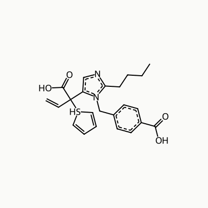 C=CC(C(=O)O)(c1cnc(CCCC)n1Cc1ccc(C(=O)O)cc1)[SH]1C=CC=C1